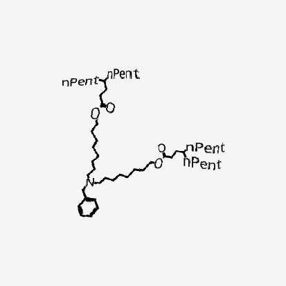 CCCCCC(CCCCC)CCC(=O)OCCCCCCCCN(CCCCCCCCOC(=O)CCC(CCCCC)CCCCC)Cc1ccccc1